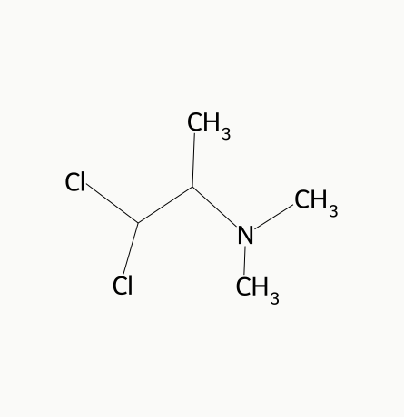 CC(C(Cl)Cl)N(C)C